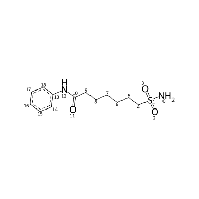 NS(=O)(=O)CCCCCCC(=O)Nc1ccccc1